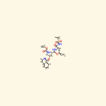 C=C[C@@H]1C[C@]1(NC(=O)CC[C@H](CNC(=O)OC(C)(C)C)Oc1nccc2ccccc12)C(=O)NS(=O)(=O)C1CC1